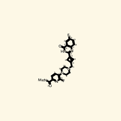 CNC(=O)c1ccc(N2CCN(CC34CC(c5nc6ccc(F)cc6c(=O)[nH]5)(C3)C4)CC2)c(F)n1